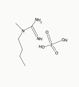 CCCCN(C)C(=N)N.O=S(=O)(O)O